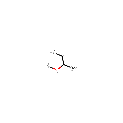 CC(=O)OC(CC(C)(C)C)OC(C)C